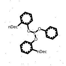 CCCCCCCCCCc1ccccc1OP(Oc1ccccc1)Oc1ccccc1CCCCCCCCCC